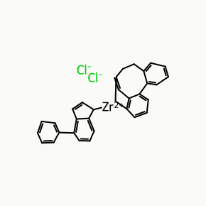 C1=C[CH]([Zr+2][CH]2C3=Cc4c(cccc42)-c2ccccc2CC3)c2cccc(-c3ccccc3)c21.[Cl-].[Cl-]